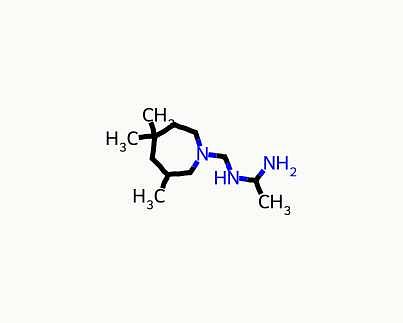 CC1CN(CNC(C)N)CCC(C)(C)C1